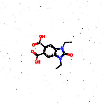 CCn1c(=O)n(CC)c2cc(C(=O)O)c(C(=O)O)cc21